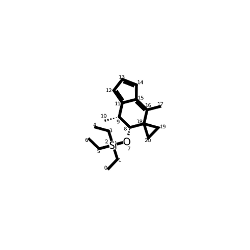 CC[Si](CC)(CC)O[C@@H]1[C@H](C)C2=CC=CC2=C(C)C12CC2